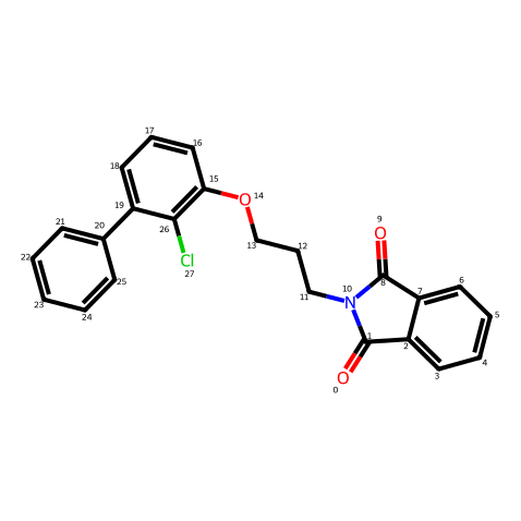 O=C1c2ccccc2C(=O)N1CCCOc1cccc(-c2ccccc2)c1Cl